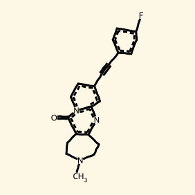 CN1CCc2nc3cc(C#Cc4ccc(F)cc4)ccn3c(=O)c2CC1